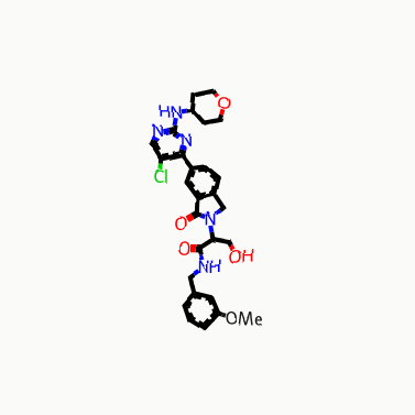 COc1cccc(CNC(=O)C(CO)N2Cc3ccc(-c4nc(NC5CCOCC5)ncc4Cl)cc3C2=O)c1